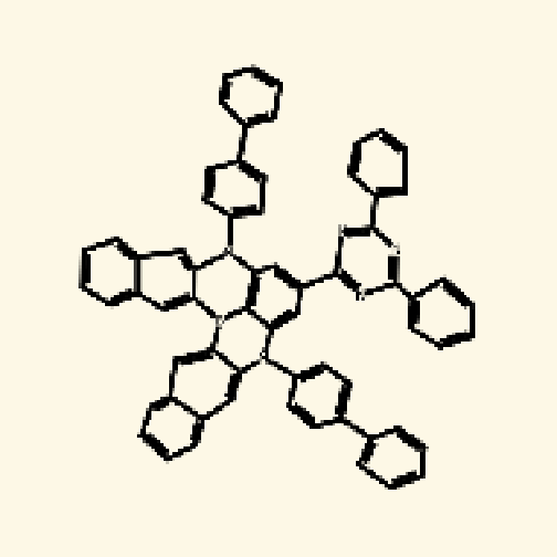 c1ccc(-c2ccc(N3c4cc5ccccc5cc4B4c5cc6ccccc6cc5N(c5ccc(-c6ccccc6)cc5)c5cc(-c6nc(-c7ccccc7)nc(-c7ccccc7)n6)cc3c54)cc2)cc1